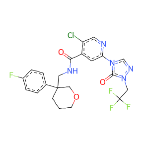 O=C(NCC1(c2ccc(F)cc2)CCCOC1)c1cc(-n2cnn(CC(F)(F)F)c2=O)ncc1Cl